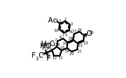 CC(=O)c1cccc([C@H]2C[C@@]3(C)C(CC[C@@]3(O)C(F)(F)C(F)(F)F)C3CCC4=CC(=O)CCC4=C32)c1